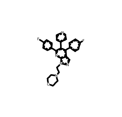 Fc1ccc(-c2nc3c(cnn3CCN3CCOCC3)c(-c3ccc(F)cc3)c2-c2ccncc2)cc1